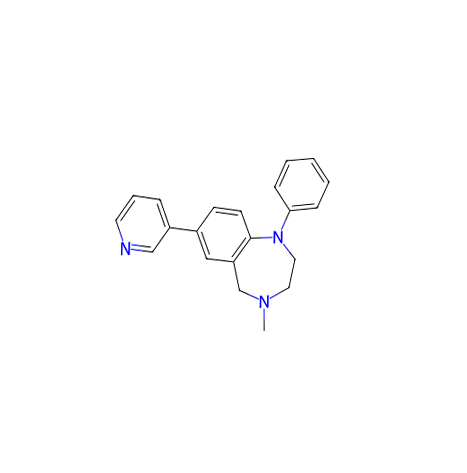 CN1CCN(c2ccccc2)c2ccc(-c3cccnc3)cc2C1